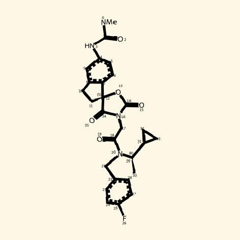 CNC(=O)Nc1ccc2c(c1)CC[C@]21OC(=O)N(CC(=O)N(Cc2ccc(F)cc2)[C@H](C)C2CC2)C1=O